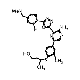 CNCc1ccc(-c2nnc(-c3nc(-c4ccc(SC(C)CCO)c(C)c4)cnc3N)o2)c(F)c1